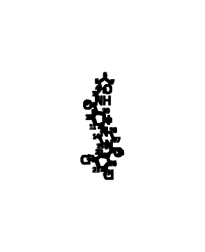 O=C(NCC1CCCO1)c1ccc(N2CCN(C(=O)c3cc(Cl)cc(Cl)c3)CC2)nc1